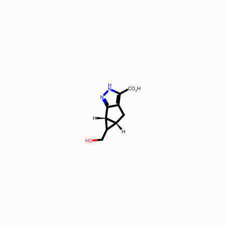 O=C(O)c1[nH]nc2c1C[C@@H]1C(CO)[C@H]21